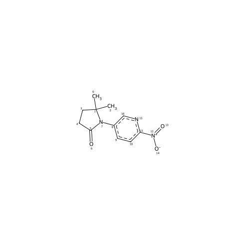 CC1(C)CCC(=O)N1c1ccc([N+](=O)[O-])nc1